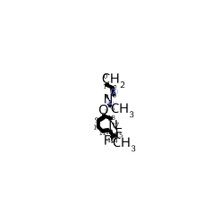 C=C/C=C\N=C(/C)OC1=CCC=C(C(C)(F)F)N=C1